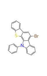 Brc1cc2c3ccccc3sc2c2c1c1ccccc1n2-c1ccccc1